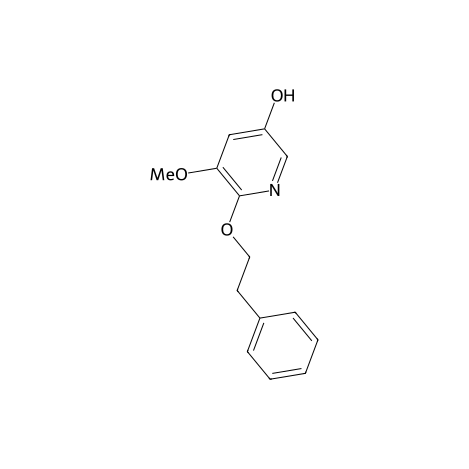 COc1cc(O)cnc1OCCc1ccccc1